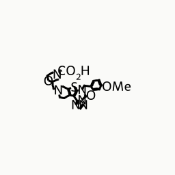 COc1ccc(Cn2c(=O)n3ncnc3c3c4c(sc32)CN(CC2CN(C(=O)O)CCO2)CC4)cc1